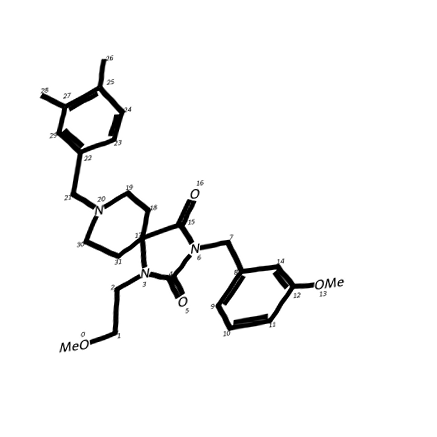 COCCN1C(=O)N(Cc2cccc(OC)c2)C(=O)C12CCN(Cc1ccc(C)c(C)c1)CC2